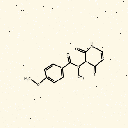 COc1ccc(C(=O)N(C)C2C(=O)NC=CC2=S)cc1